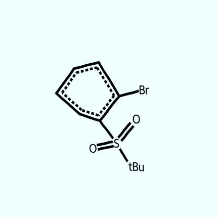 CC(C)(C)S(=O)(=O)c1ccccc1Br